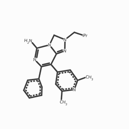 Cc1cc(C2=C(c3ccccc3)N=C(N)N3CN(CC(C)C)N=C23)cc(C)n1